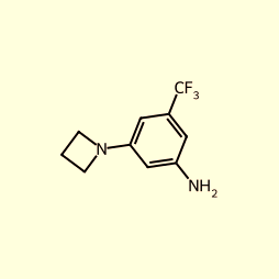 Nc1cc(N2CCC2)cc(C(F)(F)F)c1